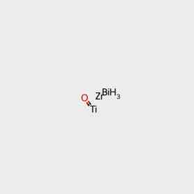 [BiH3].[O]=[Ti].[Zr]